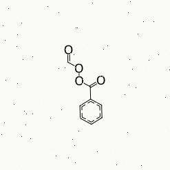 O=COOC(=O)c1ccccc1